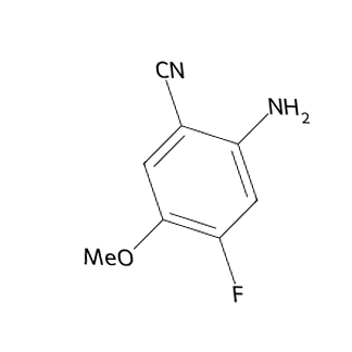 COc1cc(C#N)c(N)cc1F